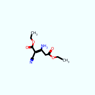 CCOC(=O)C/C(N)=C(\C#N)C(=O)OCC